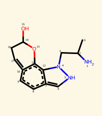 CC(N)CN1NC=c2ccc3c(c21)OC(O)CC=3